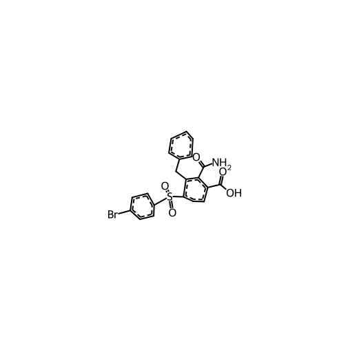 NC(=O)c1c(C(=O)O)ccc(S(=O)(=O)c2ccc(Br)cc2)c1Cc1ccccc1